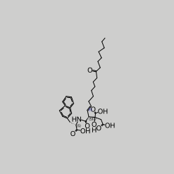 CCCCCCCC(=O)CCCCCC/C=C/[C@H](C(=O)N[C@@H](Cc1ccc2ccccc2c1)C(=O)O)[C@@](O)(CC(=O)O)C(=O)O